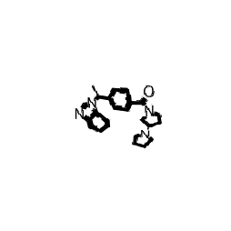 C[C@@H](c1ccc(C(=O)N2CC[C@H](N3CCCC3)C2)cc1)n1cnc2ccccc21